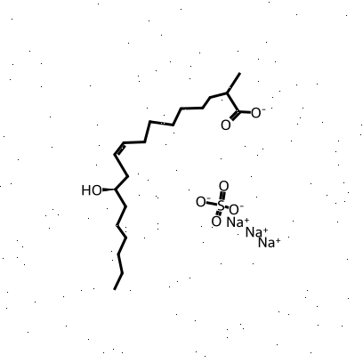 CCCCCC[C@@H](O)C/C=C\CCCCCCC(C)C(=O)[O-].O=S(=O)([O-])[O-].[Na+].[Na+].[Na+]